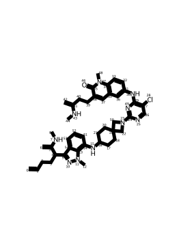 C=CCCC(C(=C)NC)c1nn(C)c2c(NC3CCC4(CC3)CN(c3ncc(Cl)c(Nc5ccc6c(c5)cc(CCC(=C)NC)c(=O)n6C)n3)C4)cccc12